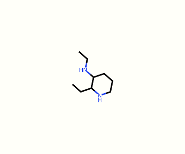 CCNC1CCCNC1CC